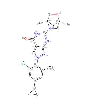 Cc1cc(C2CC2)cc(Cl)c1-n1cc2c(=O)[nH]c(N3C[C@H]4C[C@@H]3CO4)nc2n1